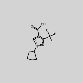 O=C(O)c1cn(C2CCCC2)nc1C(F)(F)F